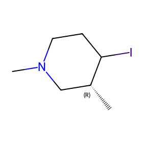 C[C@@H]1CN(C)CCC1I